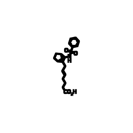 O=C(O)CCCC=CCC1C2CCC(C2)C1NS(=O)(=O)c1ccccc1